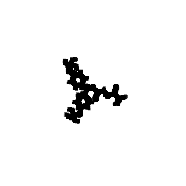 C=C(C)C(=O)OCC(=O)OC(c1ccc(OC(C)(C)C)cc1)c1ccc(OC(C)(C)C)cc1